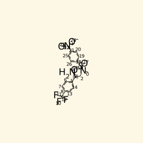 CN(C[C@H](N)c1ccc(C(F)(F)F)cc1)S(=O)(=O)c1ccc([N+](=O)[O-])cc1